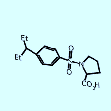 CCC(CC)c1ccc(S(=O)(=O)N2CCCC2C(=O)O)cc1